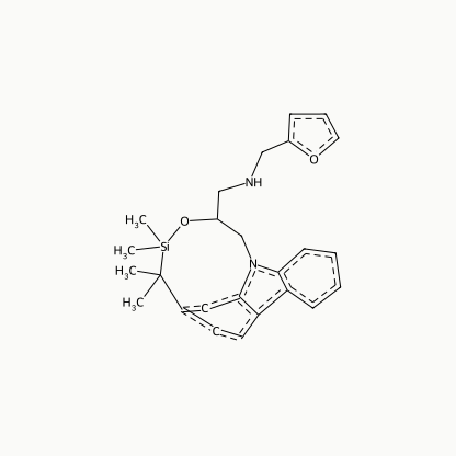 CC1(C)c2ccc3c4ccccc4n(c3c2)CC(CNCc2ccco2)O[Si]1(C)C